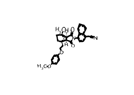 COc1ccc(OCC[C@@]23CC[C@@](C)(O2)[C@H]2C(=O)N(c4ccc(C#N)c5ccccc45)C(=O)[C@H]23)cc1